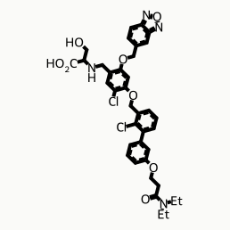 CCN(CC)C(=O)CCOc1cccc(-c2cccc(COc3cc(OCc4ccc5nonc5c4)c(CNC(CO)C(=O)O)cc3Cl)c2Cl)c1